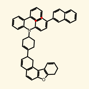 C1=Cc2c(oc3ccc4c(c23)CC(C2=CCC(N(c3ccc(-c5ccc6ccccc6c5)cc3)c3ccccc3-c3ccccc3)CC2)C=C4)CC1